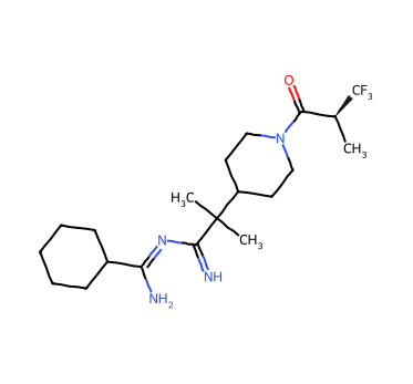 C[C@@H](C(=O)N1CCC(C(C)(C)C(=N)/N=C(\N)C2CCCCC2)CC1)C(F)(F)F